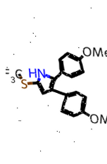 COc1ccc(-c2cc(SC(F)(F)F)[nH]c2-c2ccc(OC)cc2)cc1